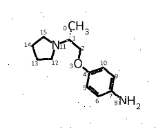 C[C@H](COc1ccc(N)cc1)N1CCCC1